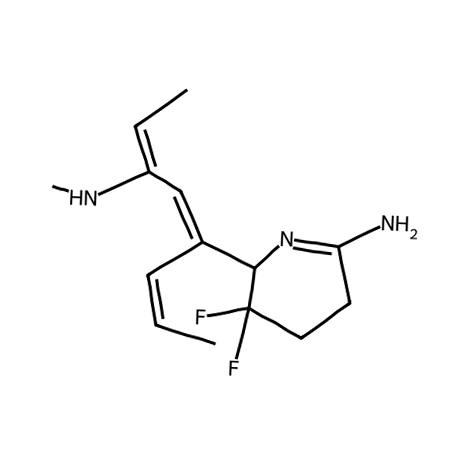 C\C=C/C(=C\C(=C/C)NC)C1N=C(N)CCC1(F)F